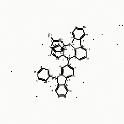 Fc1cccc(-n2c3ccccc3c3cccc(N(c4ccccc4)c4ccc5c6ccccc6n(-c6ccccc6)c5c4)c32)c1